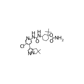 CC1(C)Cc2c(-c3cc(NC(=O)NC4CCCC(OC(N)=O)(C(C)(C)C)C4)ncc3Cl)cnn2C1